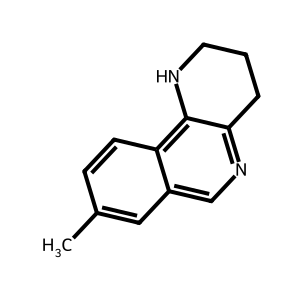 Cc1ccc2c3c(ncc2c1)CCCN3